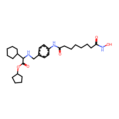 O=C(CCCCCCC(=O)Nc1ccc(CNC(C(=O)OC2CCCC2)C2CCCCC2)cc1)NO